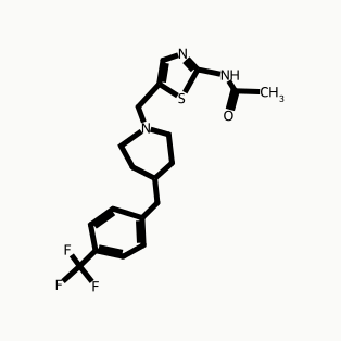 CC(=O)Nc1ncc(CN2CCC(Cc3ccc(C(F)(F)F)cc3)CC2)s1